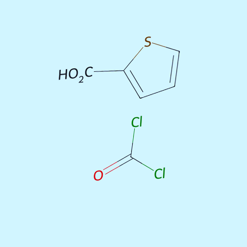 O=C(Cl)Cl.O=C(O)c1cccs1